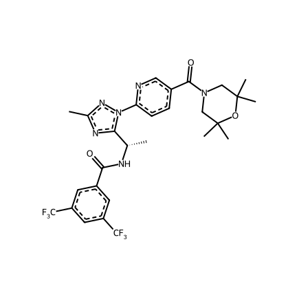 Cc1nc([C@H](C)NC(=O)c2cc(C(F)(F)F)cc(C(F)(F)F)c2)n(-c2ccc(C(=O)N3CC(C)(C)OC(C)(C)C3)cn2)n1